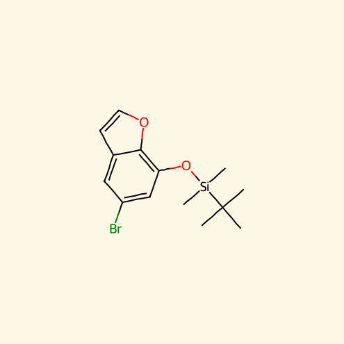 CC(C)(C)[Si](C)(C)Oc1cc(Br)cc2ccoc12